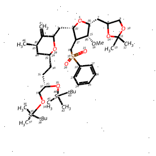 C=C1C(C[C@@H]2O[C@H](CC3COC(C)(C)O3)[C@H](OC)C2CS(=O)(=O)c2ccccc2)O[C@@H](CC[C@@H](CO[Si](C)(C)C(C)(C)C)O[Si](C)(C)C(C)(C)C)C[C@H]1C